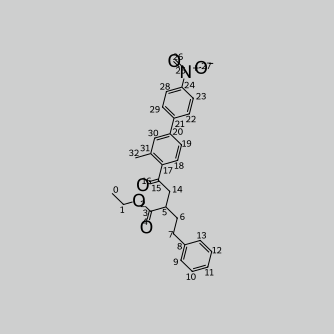 CCOC(=O)C(CCc1ccccc1)CC(=O)c1ccc(-c2ccc([N+](=O)[O-])cc2)cc1C